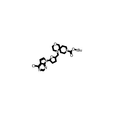 CC(C)(C)OC(=O)N1CCC2(CC1)COCCN2CC1CCC(n2ccc3c(Cl)ncnc32)O1